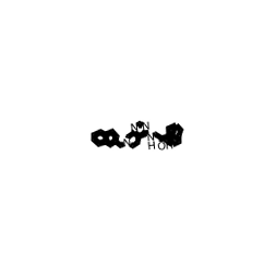 OC(CNc1ncnc2c1CCN(Cc1ccc3ccccc3c1)C2)C12CC3CC(CC(C3)C1)C2